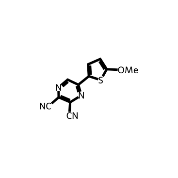 COc1ccc(-c2cnc(C#N)c(C#N)n2)s1